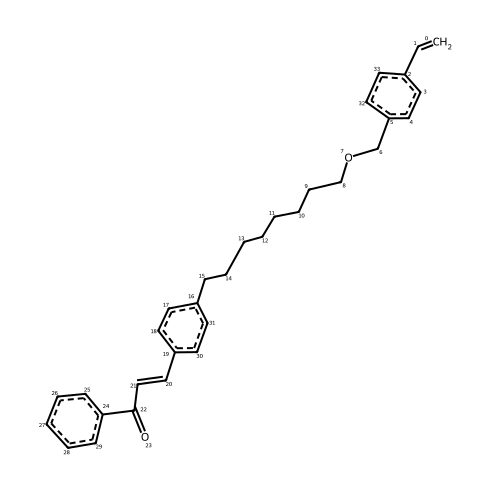 C=Cc1ccc(COCCCCCCCCc2ccc(C=CC(=O)c3ccccc3)cc2)cc1